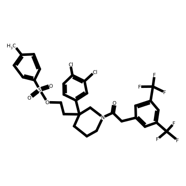 Cc1ccc(S(=O)(=O)OCCC2(c3ccc(Cl)c(Cl)c3)CCCN(C(=O)Cc3cc(C(F)(F)F)cc(C(F)(F)F)c3)C2)cc1